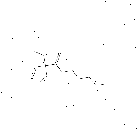 CCCCCCC(=O)C([C]=O)(CC)CC